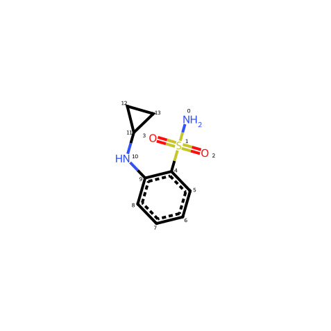 NS(=O)(=O)c1ccccc1NC1CC1